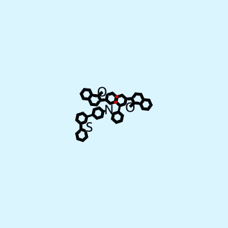 c1ccc(N(c2ccc(-c3cccc4c3sc3ccccc34)cc2)c2cccc3oc4c5ccccc5ccc4c23)c(-c2cccc3c2oc2c4ccccc4ccc32)c1